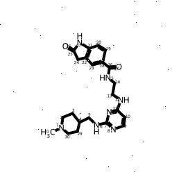 CN1CCC(CNc2nccc(NCCNC(=O)c3ccc4c(c3)CC(=O)N4)n2)CC1